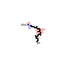 COC(=O)N/C=C/CCC(C)c1cc(O)c(C(=O)C(C)Cc2sc(CCC(C)C)cc2C)c(=O)o1